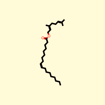 CCCCCCCC/C=C\CCCCCCCC(=O)OC/C=C(\C)CCC=C(C)C